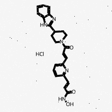 Cl.O=C(C=Cc1cccc(C=CC(=O)N2CCC(c3nc4ccccc4[nH]3)CC2)n1)NO